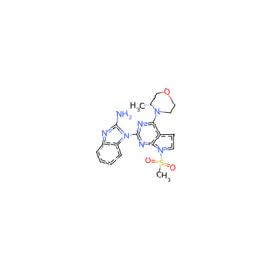 C[C@@H]1COCCN1c1nc(-n2c(N)nc3ccccc32)nc2c1ccn2S(C)(=O)=O